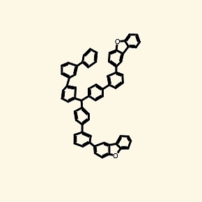 c1ccc(-c2cccc(-c3cccc(C(c4ccc(-c5cccc(-c6ccc7oc8ccccc8c7c6)c5)cc4)c4ccc(-c5cccc(-c6ccc7oc8ccccc8c7c6)c5)cc4)c3)c2)cc1